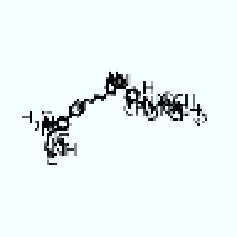 Cc1cc(-c2ncnn3cc(CCCCN4CCC(c5ccc6c(N7CCC(=O)NC7=O)nn(C)c6c5)CC4)cc23)ccc1CNC(=O)c1noc(C(C)(C)C)n1